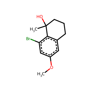 COc1cc(Br)c2c(c1)CCCC2(C)O